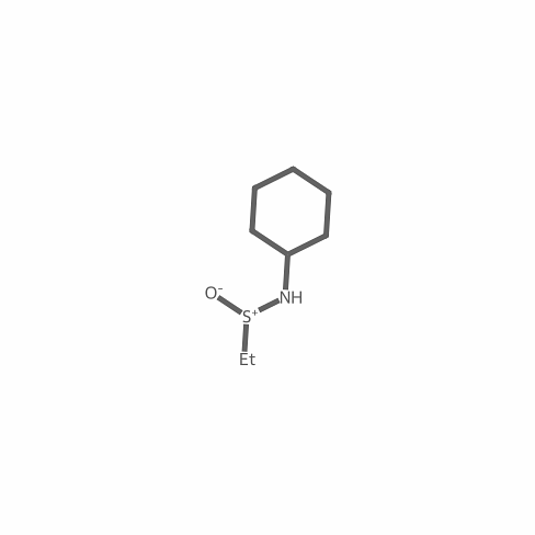 CC[S+]([O-])NC1CCCCC1